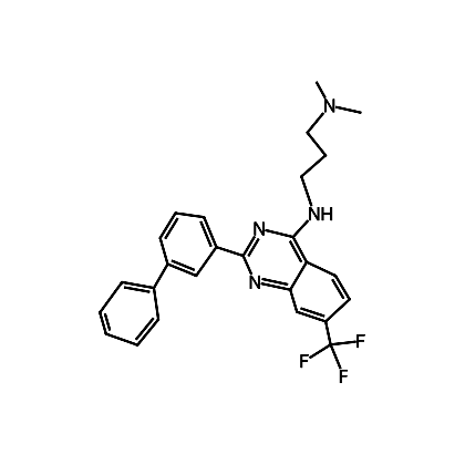 CN(C)CCCNc1nc(-c2cccc(-c3ccccc3)c2)nc2cc(C(F)(F)F)ccc12